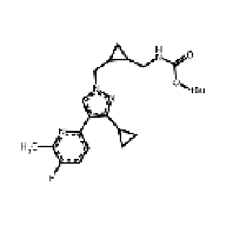 Cc1nc(-c2cn(CC3CC3CNC(=O)OC(C)(C)C)nc2C2CC2)ccc1F